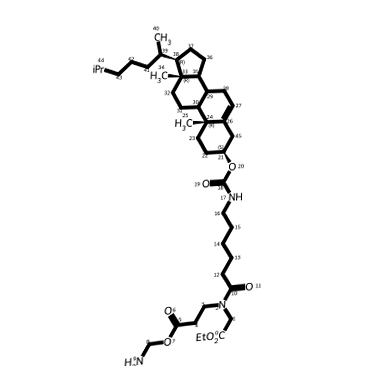 CCOC(=O)CN(CCC(=O)OCN)C(=O)CCCCCNC(=O)O[C@H]1CC[C@@]2(C)C(=CCC3C2CC[C@@]2(C)C3CC[C@@H]2C(C)CCCC(C)C)C1